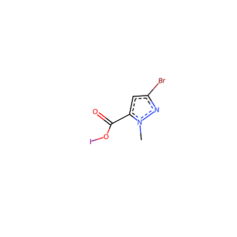 Cn1nc(Br)cc1C(=O)OI